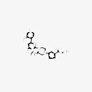 COC(=O)c1cccc(N2CCN(c3nc(-c4ccncc4F)cc(=O)n3C)[C@H](C)C2)c1